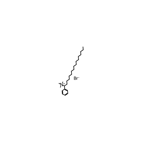 CCCCCCCCCCCCCCCCC(c1ccccc1)[N+](C)(C)C.[Br-]